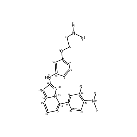 CCN(CC)CCOc1cccc(Nc2nc3cccc(-c4ccc(N(C)C)c(C)c4)n3n2)c1